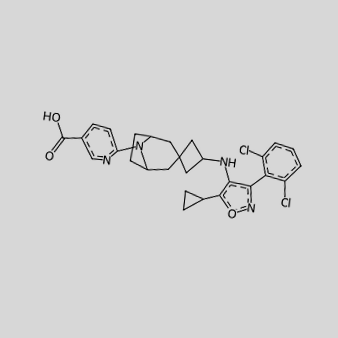 O=C(O)c1ccc(N2C3CCC2CC2(CC(Nc4c(-c5c(Cl)cccc5Cl)noc4C4CC4)C2)C3)nc1